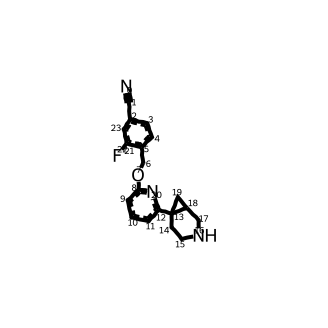 N#Cc1ccc(COc2cccc(C34CCNCC3C4)n2)c(F)c1